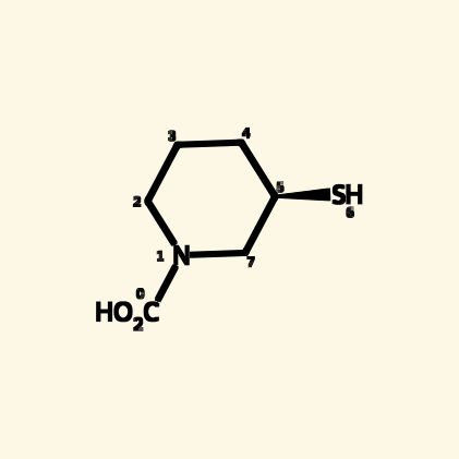 O=C(O)N1CCC[C@@H](S)C1